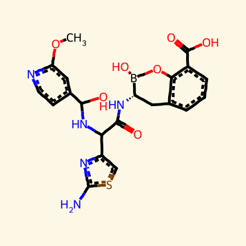 COc1cc(C(O)NC(C(=O)N[C@H]2Cc3cccc(C(=O)O)c3OB2O)c2csc(N)n2)ccn1